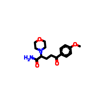 COc1ccc(C(=O)CCC(C(N)=O)N2CCOCC2)cc1